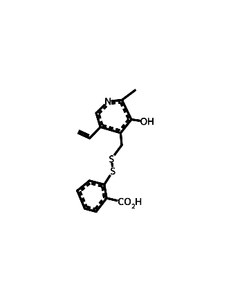 C=Cc1cnc(C)c(O)c1CSSc1ccccc1C(=O)O